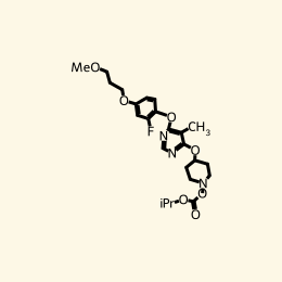 COCCCOc1ccc(Oc2ncnc(OC3CCN(OC(=O)OC(C)C)CC3)c2C)c(F)c1